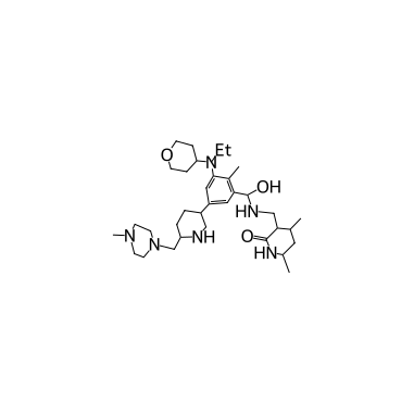 CCN(c1cc(C2CCC(CN3CCN(C)CC3)NC2)cc(C(O)NCC2C(=O)NC(C)CC2C)c1C)C1CCOCC1